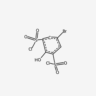 O=S(=O)(Cl)c1cc(Br)cc(S(=O)(=O)Cl)c1O